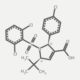 CC(C)(C)[C@@H]1C=C(C(=O)O)[C@H](c2ccc(Cl)cc2)N1S(=O)(=O)c1c(Cl)cccc1Cl